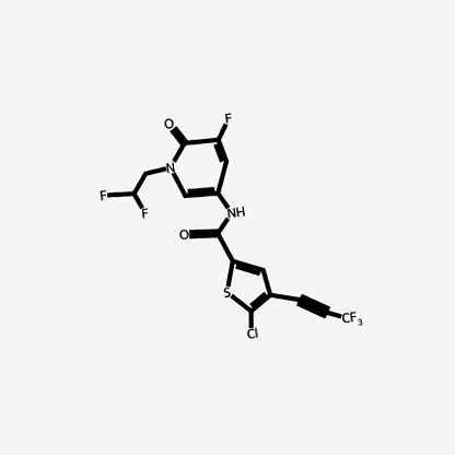 O=C(Nc1cc(F)c(=O)n(CC(F)F)c1)c1cc(C#CC(F)(F)F)c(Cl)s1